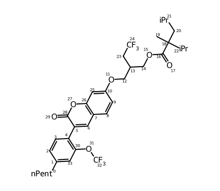 CCCCCc1ccc(-c2cc3ccc(OCC(COC(=O)C(C)(CC(C)C)C(C)C)CC(F)(F)F)cc3oc2=O)c(OC(F)(F)F)c1